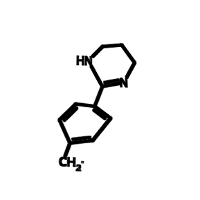 [CH2]c1ccc(C2=NCCCN2)cc1